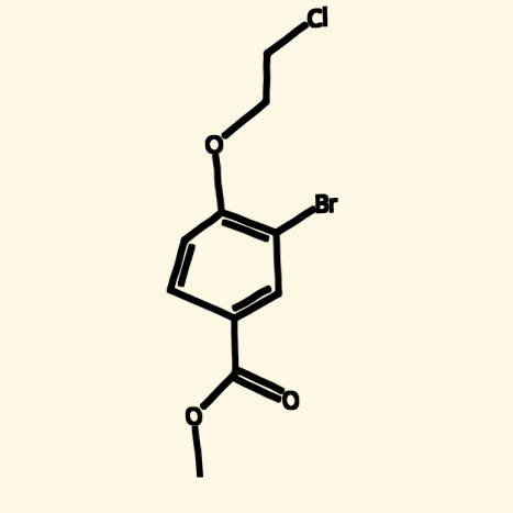 COC(=O)c1ccc(OCCCl)c(Br)c1